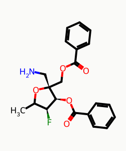 CC1O[C@](CN)(COC(=O)c2ccccc2)[C@@H](OC(=O)c2ccccc2)[C@H]1F